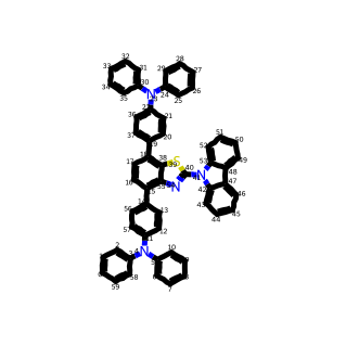 c1ccc(N(c2ccccc2)c2ccc(-c3ccc(-c4ccc(N(c5ccccc5)c5ccccc5)cc4)c4sc(-n5c6ccccc6c6ccccc65)nc34)cc2)cc1